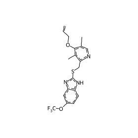 C=CCOc1c(C)cnc(CSc2nc3cc(OC(F)(F)F)ccc3[nH]2)c1C